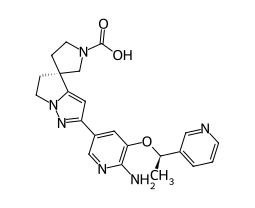 C[C@@H](Oc1cc(-c2cc3n(n2)CC[C@@]32CCN(C(=O)O)C2)cnc1N)c1cccnc1